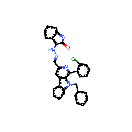 O=C1N=c2ccccc2=C1NN=Cc1cc2c3ccccc3n(Cc3ccccc3)c2c(-c2ccccc2Cl)n1